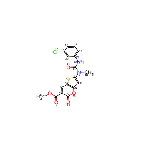 COC(=O)c1cc2sc(N(C)C(=O)Nc3cccc(Cl)c3)cc2oc1=O